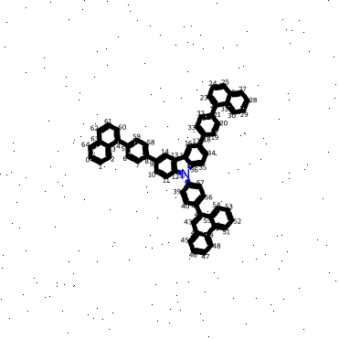 c1ccc2c(-c3ccc(-c4ccc5c(c4)c4cc(-c6ccc(-c7cccc8ccccc78)cc6)ccc4n5-c4ccc(-c5cc6ccccc6c6ccccc56)cc4)cc3)cccc2c1